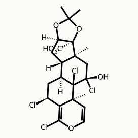 CC1(C)O[C@@H]2C[C@H]3[C@@H]4C[C@H](Cl)C5=C(Cl)OC=C[C@]5(C)[C@@]4(Cl)[C@@](O)(Cl)C[C@]3(C)[C@]2(C(=O)O)O1